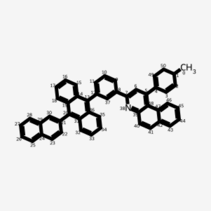 CC1C=CC(c2cc(-c3cccc(-c4c5ccccc5c(-c5ccc6ccccc6c5)c5ccccc45)c3)nc3ccc4ccccc4c23)=CC1